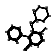 Cn1ccc(=O)c(-c2ccccn2)c1OC1CCCCO1